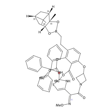 CO/N=C(/C(=O)N1CC(Oc2ccc(CCB3O[C@@H]4C[C@@H]5C[C@@H](C5(C)C)[C@]4(C)O3)c(OC(=O)OC(C)(C)C)c2C(=O)OC(C)(C)C)C1)C1=CSC(NC(c2ccccc2)(c2ccccc2)c2ccccc2)N1